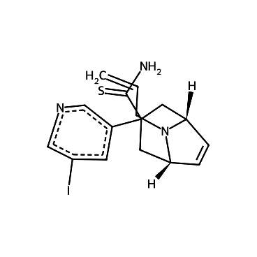 C=CCN1[C@@H]2C=C[C@H]1CC(C(N)=S)(c1cncc(I)c1)C2